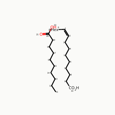 CCCCCC/C=C\CCCCCCCC(=O)O.CCCCCCCCCC(=O)O